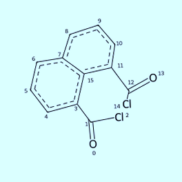 O=C(Cl)c1cccc2cccc(C(=O)Cl)c12